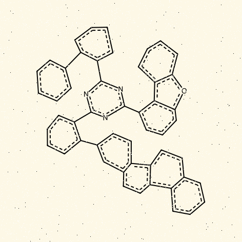 c1ccc(-c2ccccc2-c2nc(-c3ccccc3-c3ccc4c(ccc5c6ccccc6ccc45)c3)nc(-c3cccc4oc5ccccc5c34)n2)cc1